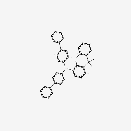 CC1(C)c2ccccc2Sc2c(N(c3ccc(-c4ccccc4)cc3)c3ccc(-c4ccccc4)cc3)cccc21